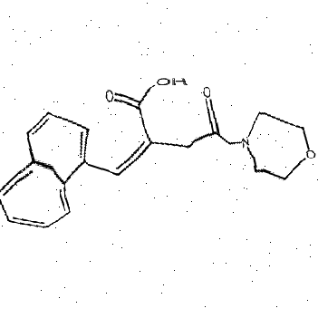 O=C(O)C(=Cc1cccc2ccccc12)CC(=O)N1CCOCC1